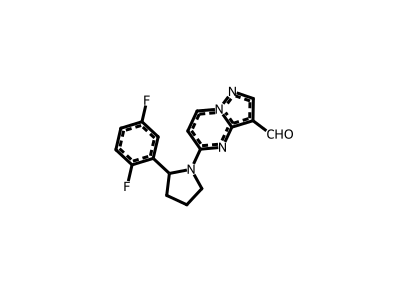 O=Cc1cnn2ccc(N3CCCC3c3cc(F)ccc3F)nc12